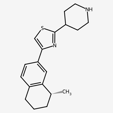 C[C@@H]1CCCc2ccc(-c3csc(C4CCNCC4)n3)cc21